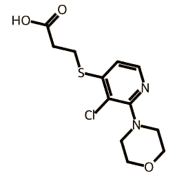 O=C(O)CCSc1ccnc(N2CCOCC2)c1Cl